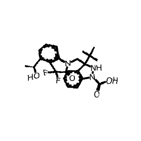 C[C@H](O)c1cccc2c1C(F)(F)C(=O)N2CC1(C(C)(C)C)NN(C(=O)O)c2ccccc21